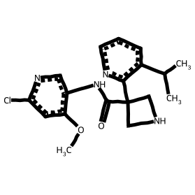 COc1cc(Cl)ncc1NC(=O)C1(c2ncccc2C(C)C)CNC1